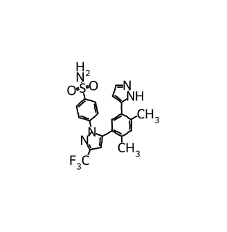 Cc1cc(C)c(-c2cc(C(F)(F)F)nn2-c2ccc(S(N)(=O)=O)cc2)cc1-c1ccn[nH]1